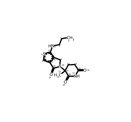 CCCNc1scc2c1CN(C1(C)CCC(=O)NC1=O)C2=O